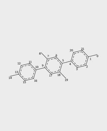 Cc1ccc(-c2cc(C)c(-c3ccc(C)cc3)cc2C)cc1